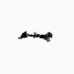 O=C(CCn1ccc2cc(Cl)ccc21)NC1CCN(c2ccc(S(=O)(=O)Nc3ncns3)cc2)CC1